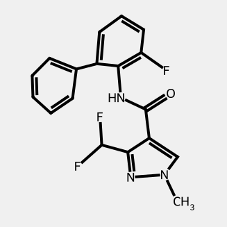 Cn1cc(C(=O)Nc2c(F)cccc2-c2ccccc2)c(C(F)F)n1